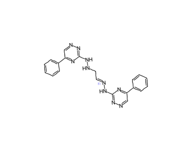 C(/CNNc1nncc(-c2ccccc2)n1)=N\Nc1nncc(-c2ccccc2)n1